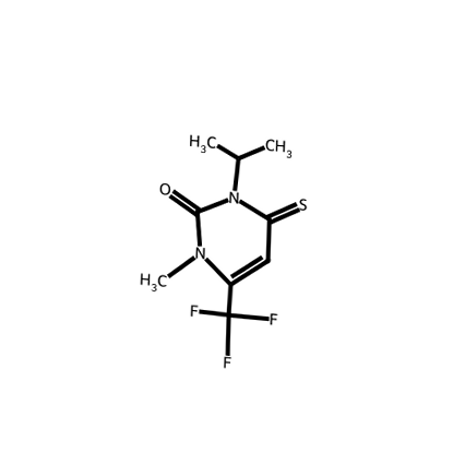 CC(C)n1c(=S)cc(C(F)(F)F)n(C)c1=O